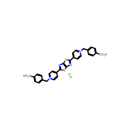 O=C(O)c1ccc(C[n+]2ccc(-c3nc4sc(-c5cc[n+](Cc6ccc(C(=O)O)cc6)cc5)nc4s3)cc2)cc1.[Cl-].[Cl-]